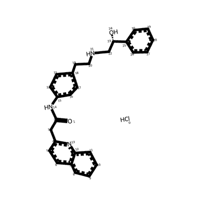 Cl.O=C(Cc1ccc2ccccc2n1)Nc1ccc(CCNC[C@H](O)c2ccccc2)cc1